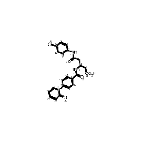 O=C(O)CC(CC(=O)Nc1ccc(Cl)cn1)NC(=O)c1ccc(-n2ccccc2=O)cc1